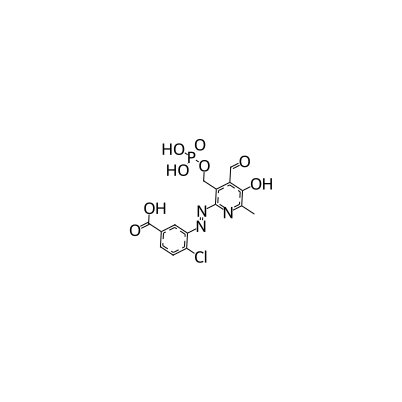 Cc1nc(N=Nc2cc(C(=O)O)ccc2Cl)c(COP(=O)(O)O)c(C=O)c1O